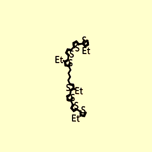 CCc1ccsc1-c1ccc(-c2ccc(-c3sc(CCCCc4cc(CC)c(-c5ccc(-c6ccc(-c7sccc7CC)s6)s5)s4)cc3CC)s2)s1